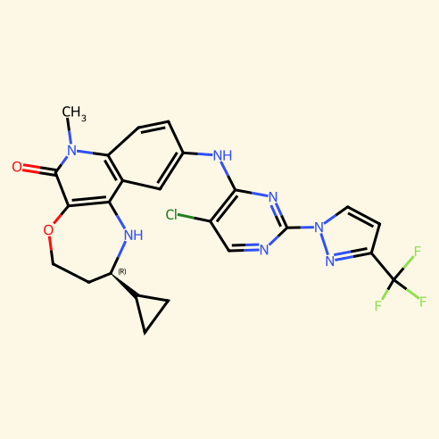 Cn1c(=O)c2c(c3cc(Nc4nc(-n5ccc(C(F)(F)F)n5)ncc4Cl)ccc31)N[C@@H](C1CC1)CCO2